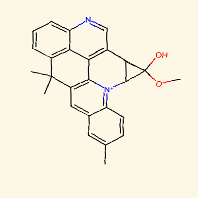 COC1(O)C2c3cnc4cccc5c4c3-c3c(cc4cc(C)ccc4[n+]3C21)C5(C)C